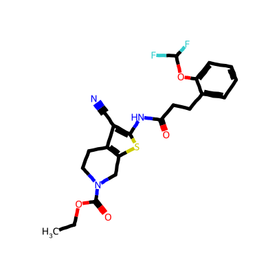 CCOC(=O)N1CCc2c(sc(NC(=O)CCc3ccccc3OC(F)F)c2C#N)C1